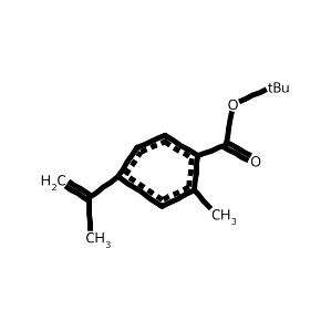 C=C(C)c1ccc(C(=O)OC(C)(C)C)c(C)c1